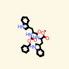 COC(=O)C(CC1CNc2ccccc21)NC(=O)C(Cc1c[nH]c2ccccc12)NC(=O)OCc1ccccc1